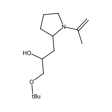 C=C(C)N1CCCC1CC(O)COC(C)(C)C